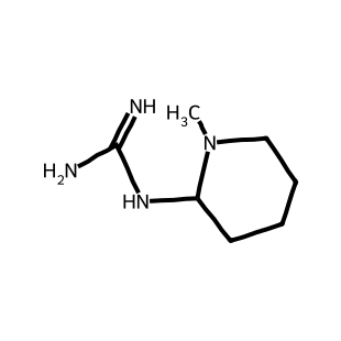 CN1CCCCC1NC(=N)N